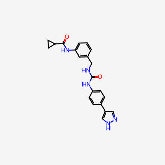 O=C(NCc1cccc(NC(=O)C2CC2)c1)Nc1ccc(-c2cn[nH]c2)cc1